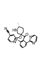 C[C@@H]1CC[C@](Oc2cc(C#N)ccn2)(C(=O)c2c(F)cccc2-c2ncccn2)CN1